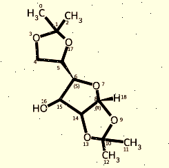 CC1(C)OCC([C@H]2O[C@@H]3OC(C)(C)OC3C2O)O1